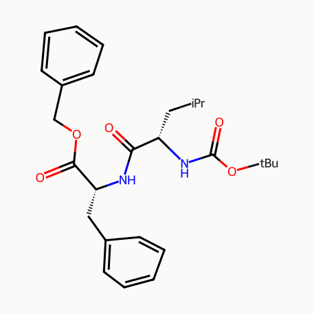 CC(C)C[C@H](NC(=O)OC(C)(C)C)C(=O)N[C@H](Cc1ccccc1)C(=O)OCc1ccccc1